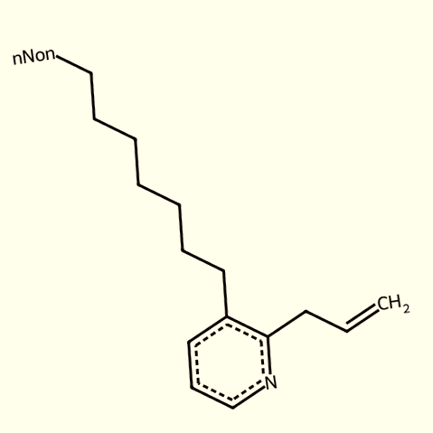 C=CCc1ncccc1CCCCCCCCCCCCCCCC